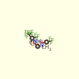 Cc1cc(C(F)(C(F)(F)F)C(F)(F)F)cc(C(F)(F)F)c1NC(=O)c1cccc(N(C)C(=O)c2ccc(C(F)(F)F)cc2)c1F